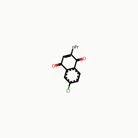 CCCC1=CC(=O)c2cc(Cl)ccc2C1=O